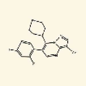 CC(=O)c1cnn2c(C3CCCCC3)c(-c3ccc(F)cc3F)cnc12